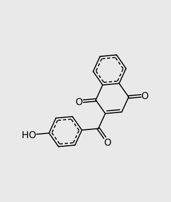 O=C(C1=CC(=O)c2ccccc2C1=O)c1ccc(O)cc1